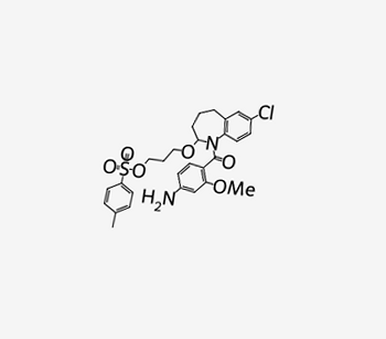 COc1cc(N)ccc1C(=O)N1c2ccc(Cl)cc2CCCC1OCCCOS(=O)(=O)c1ccc(C)cc1